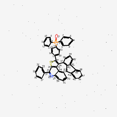 O=P(c1ccccc1)(c1ccccc1)c1ccc(-c2sc3c(-c4ccccc4)nc4ccccc4c3c2-c2cccc3c2Cc2ccccc2-3)cc1